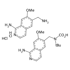 COc1cc2c(N)nccc2cc1CN.COc1cc2c(N)nccc2cc1CN(C(=O)O)C(C)(C)C.Cl.Cl